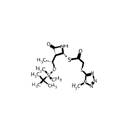 C[C@@H](O[Si](C)(C)C(C)(C)C)[C@@H]1C(=O)N[C@@H]1SC(=O)CSc1nnnn1C